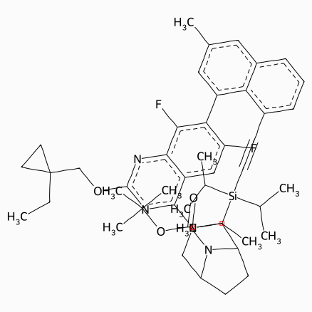 CCC1(COc2nc(N3CC4CCC(C3)N4C(=O)OC(C)(C)C)c3cc(F)c(-c4cc(C)cc5cccc(C#C[Si](C(C)C)(C(C)C)C(C)C)c45)c(F)c3n2)CC1